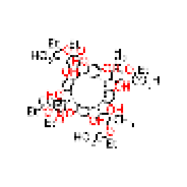 CCOc1cc(C2c3cc(c(O)cc3O)C(c3ccc(OC(CC)C(=O)O)c(C)c3)c3cc(c(O)cc3O)C(c3ccc(OC(CC)C(=O)O)c(C)c3)c3cc(c(O)cc3O)C(c3ccc(OC(CC)C(=O)O)c(OCC)c3)c3cc2c(O)cc3O)ccc1OC(CC)C(=O)O